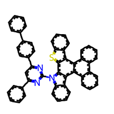 c1ccc(-c2ccc(-c3cc(-c4ccccc4)nc(-n4c5ccccc5c5c6c7ccccc7c7ccccc7c6c6c7ccccc7sc6c54)n3)cc2)cc1